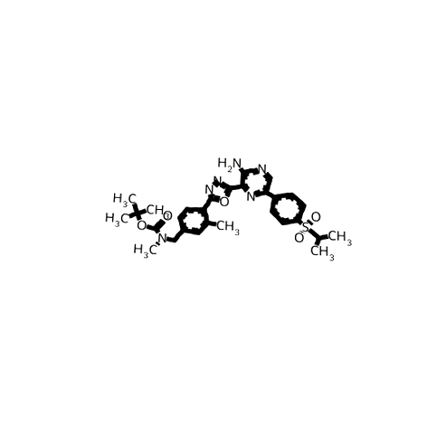 Cc1cc(CN(C)C(=O)OC(C)(C)C)ccc1-c1nnc(-c2nc(-c3ccc(S(=O)(=O)C(C)C)cc3)cnc2N)o1